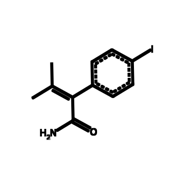 CC(C)=C(C(N)=O)c1ccc(I)cc1